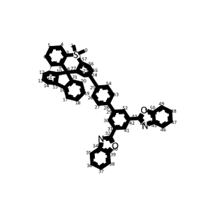 CS1(C)c2ccccc2C2(c3ccccc3-c3ccccc32)c2cc(-c3ccc(-c4cc(-c5nc6ccccc6o5)cc(-c5nc6ccccc6o5)c4)cc3)ccc21